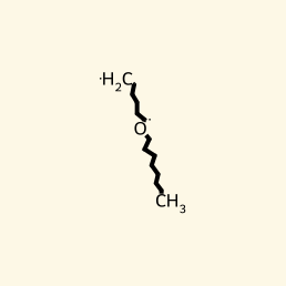 [CH2]CCCC[CH]OCCCCCCCC